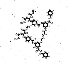 CC(C)(C)OC(=O)N=C(NC(=O)OC(C)(C)C)Nc1ccc(C(=O)Oc2cc(OCCOCCOc3cc(OC(=O)c4ccc(NC(=NC(=O)OC(C)(C)C)NC(=O)OC(C)(C)C)cc4)cc(C(=O)OCc4ccccc4)c3)cc(C(=O)OCc3ccccc3)c2)cc1